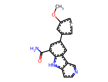 COc1cccc(-c2cc(C(N)=O)c3[nH]c4ccncc4c3c2)c1